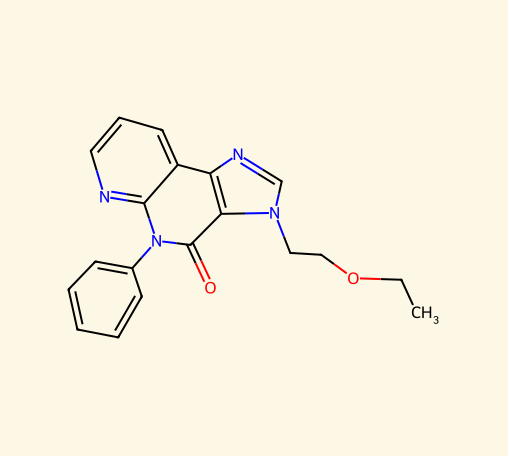 CCOCCn1cnc2c3cccnc3n(-c3ccccc3)c(=O)c21